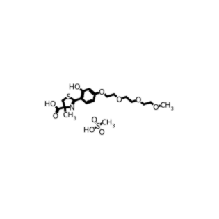 COCCOCCOCCOc1ccc(C2=NC(C)(C(=O)O)CS2)c(O)c1.CS(=O)(=O)O